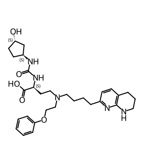 O=C(N[C@H]1CC[C@H](O)C1)N[C@@H](CCN(CCCCc1ccc2c(n1)NCCC2)CCOc1ccccc1)C(=O)O